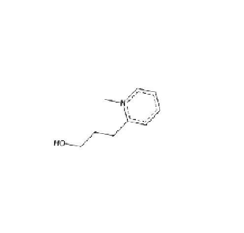 C[n+]1ccccc1CCCO